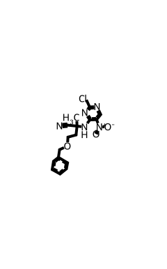 CC(C#N)(CCOCc1ccccc1)Nc1nc(Cl)ncc1[N+](=O)[O-]